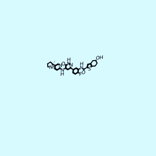 C[C@@]1(c2ccc(Nc3cc(-c4ccc(F)c(NC(=O)c5cc6c(s5)CCC(O)C6)c4)n[nH]c3=O)nc2)CCCN1